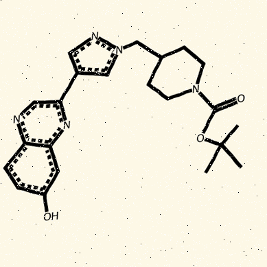 CC(C)(C)OC(=O)N1CCC(Cn2cc(-c3cnc4ccc(O)cc4n3)cn2)CC1